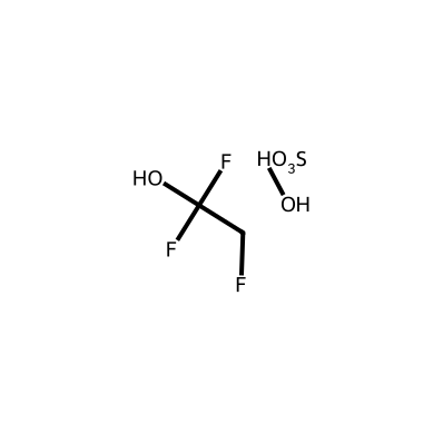 O=S(=O)(O)O.OC(F)(F)CF